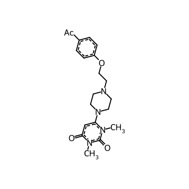 CC(=O)c1ccc(OCCN2CCN(c3cc(=O)n(C)c(=O)n3C)CC2)cc1